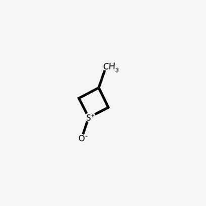 CC1C[S+]([O-])C1